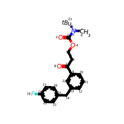 CN(C(=O)OCCC(=O)c1cccc(Cc2ccc(F)cc2)c1)C(C)(C)C